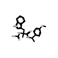 COc1ccc(C(C)NC(=O)C(C)(Cc2c[nH]c3ccccc23)NC(=O)O)cc1